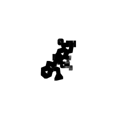 Cn1c(-c2cc3ccccc3n2CC2CC2)nc2cc3c(c(F)c21)CCNC3=O